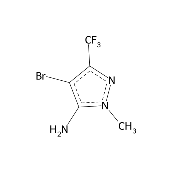 Cn1nc(C(F)(F)F)c(Br)c1N